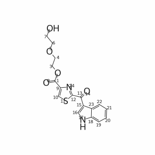 O=C(OCCOCCO)c1csc(C(=O)c2c[nH]c3ccccc23)n1